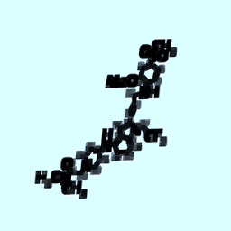 COc1cc(S(C)(=O)=O)ccc1NCC#Cc1cc2c(NC3CCN(CC(=O)N(C)C)CC3)cccc2n1CC(F)(F)F